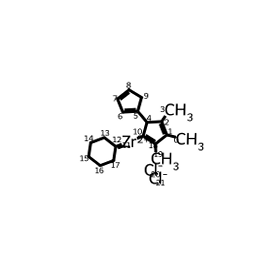 CC1=C(C)C(C2=CC=CC2)[C]([Zr+2]=[C]2CCCCC2)=C1C.[Cl-].[Cl-]